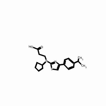 CC(C)c1ccc(-c2csc(N(CCC(=O)O)C3CCCC3)n2)cc1